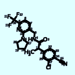 CC(C(=O)NCc1ccc(C(F)(F)F)nc1N1CCCC1)c1ccc(C#N)c(Cl)c1